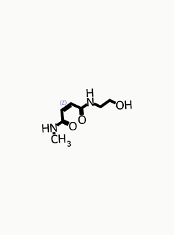 CNC(=O)/C=C\C(=O)NCCO